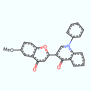 COc1ccc2oc(-c3cn(-c4ccccc4)c4ccccc4c3=O)cc(=O)c2c1